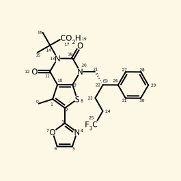 Cc1c(-c2ncco2)sc2c1c(=O)n(C(C)(C)C(=O)O)c(=O)n2C[C@@H](CCC(F)(F)F)c1ccccc1